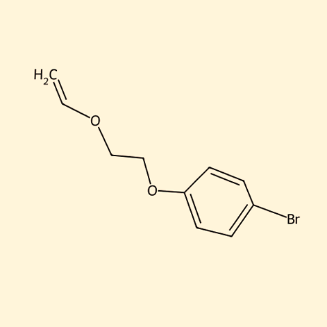 C=COCCOc1ccc(Br)cc1